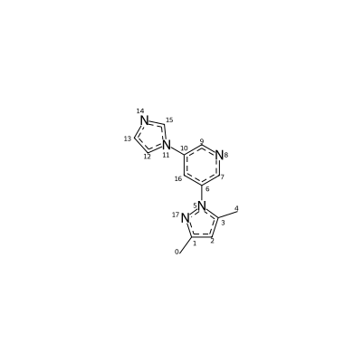 Cc1cc(C)n(-c2cncc(-n3ccnc3)c2)n1